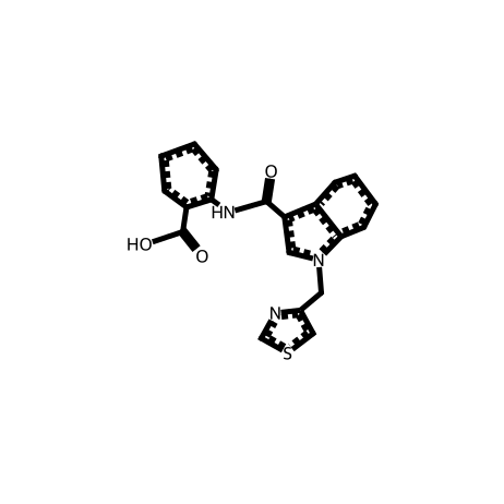 O=C(O)c1ccccc1NC(=O)c1cn(Cc2cscn2)c2ccccc12